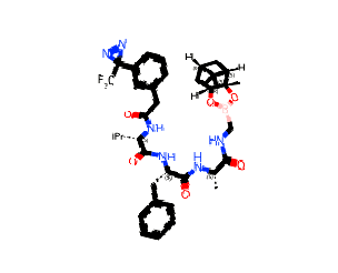 CC(C)[C@H](NC(=O)Cc1cccc(C2(C(F)(F)F)N=N2)c1)C(=O)N[C@@H](Cc1ccccc1)C(=O)N[C@@H](C)C(=O)NCB1O[C@@H]2C[C@@H]3C[C@@H](C3(C)C)[C@]2(C)O1